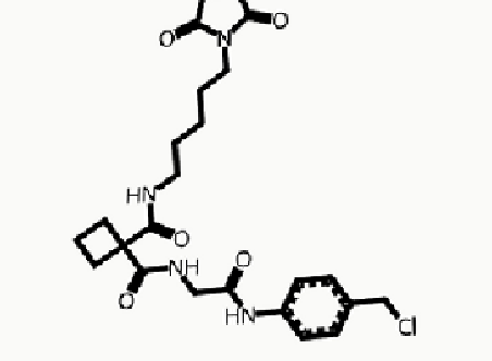 O=C(CNC(=O)C1(C(=O)NCCCCCN2C(=O)C=CC2=O)CCC1)Nc1ccc(CCl)cc1